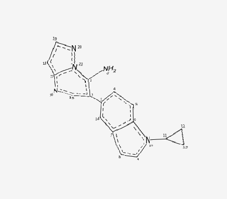 Nc1c(-c2ccc3c(ccn3C3CC3)c2)cnc2ccnn12